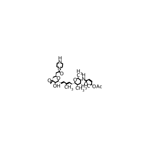 CC(=O)O[C@@H](C)/C=C\C(=O)N[C@@H]1C[C@H](C)[C@H](C/C=C(C)/C=C/[C@H]2O[C@H](CC(=O)N3CCNCC3)C[C@@]3(CO3)[C@@H]2O)O[C@@H]1C